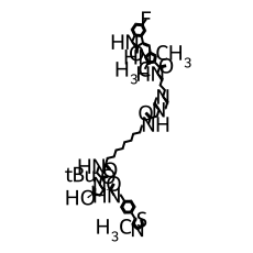 Cc1ncsc1-c1ccc(CNC(=O)[C@@H]2C[C@@H](O)CN2C(=O)[C@@H](NC(=O)CCCCCCCCCNC(=O)CN2CCN(CCCNC(=O)c3c(C)[nH]c(/C=C4\C(=O)Nc5ccc(F)cc54)c3C)CC2)C(C)(C)C)cc1